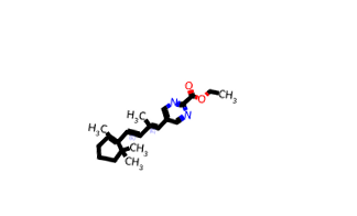 CCOC(=O)c1ncc(/C=C(C)/C=C/C2=C(C)CCCC2(C)C)cn1